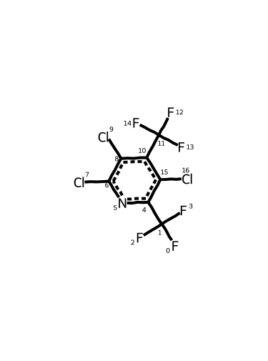 FC(F)(F)c1nc(Cl)c(Cl)c(C(F)(F)F)c1Cl